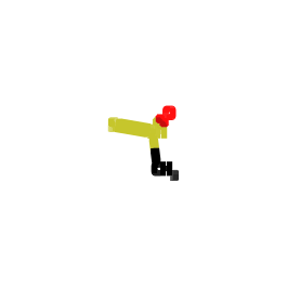 C[SH](=O)=S